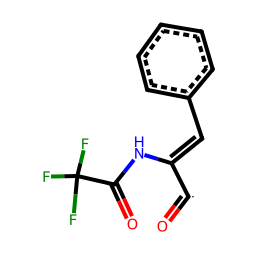 O=[C]C(=Cc1ccccc1)NC(=O)C(F)(F)F